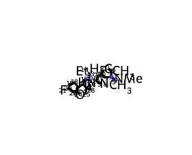 C=C(C)/C(=C(/C)NC)c1ncc(N/C(=C/CC)CC2c3ccc(F)cc3OCC23CC3)cc1F